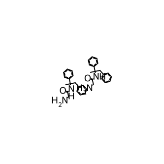 CC(Cc1ccccc1)(NC(=O)CN)c1ccccc1.CC(Cc1ccccc1)(NC(=O)CN)c1ccccc1